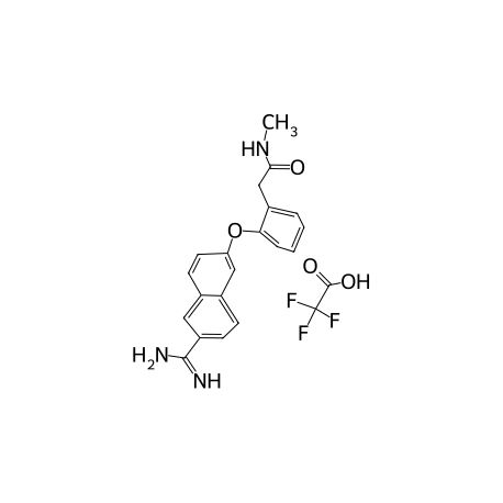 CNC(=O)Cc1ccccc1Oc1ccc2cc(C(=N)N)ccc2c1.O=C(O)C(F)(F)F